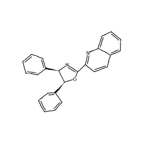 c1ccc([C@H]2N=C(c3ccc4ccccc4n3)O[C@H]2c2ccccc2)cc1